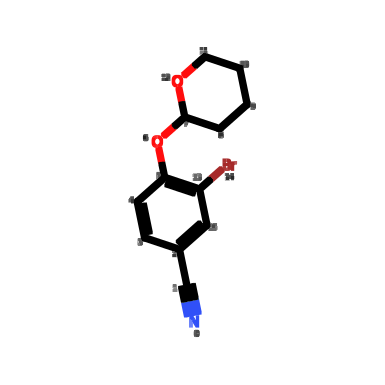 N#Cc1ccc(OC2CCCCO2)c(Br)c1